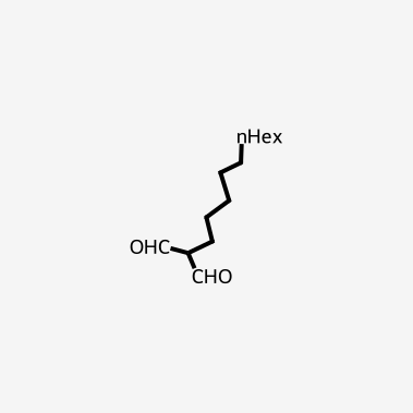 CCCCCCCCCCCC(C=O)C=O